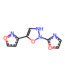 [C]1=C(c2ccon2)ON(c2ncco2)N1